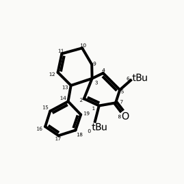 CC(C)(C)C1=CC2(C=C(C(C)(C)C)C1=O)CCC=CC2c1ccccc1